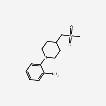 CS(=O)(=O)CC1CCN(c2ccccc2N)CC1